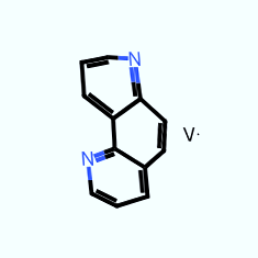 [V].c1cnc2c(c1)ccc1ncccc12